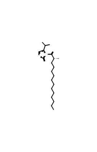 CCCCCCCCCCCC[C@H](C)C(=O)n1c(C(C)C)coc1=O